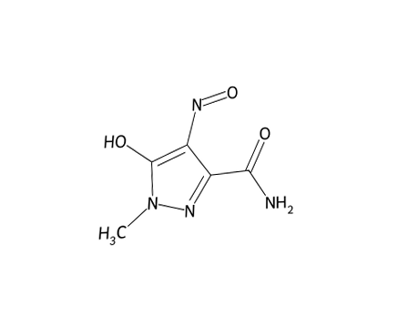 Cn1nc(C(N)=O)c(N=O)c1O